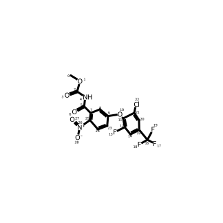 COC(=O)NC(=O)c1cc(Oc2c(F)cc(C(F)(F)F)cc2Cl)ccc1[N+](=O)[O-]